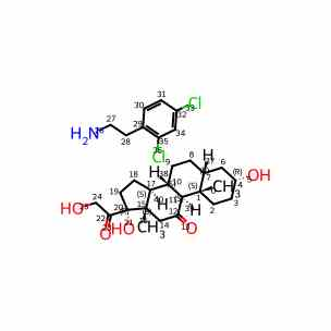 C[C@]12CC[C@@H](O)C[C@H]1CC[C@@H]1[C@@H]2C(=O)C[C@@]2(C)[C@H]1CC[C@]2(O)C(=O)CO.NCCc1ccc(Cl)cc1Cl